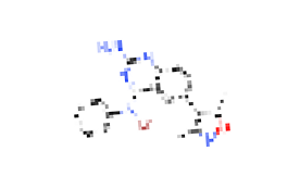 Cc1noc(C)c1-c1ccc2nc(N)nc(N(Br)c3ccccc3)c2c1